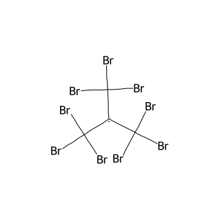 BrC(Br)(Br)[C](C(Br)(Br)Br)C(Br)(Br)Br